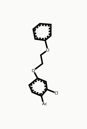 CC(=O)c1ccc(OCCOc2ccccc2)cc1Cl